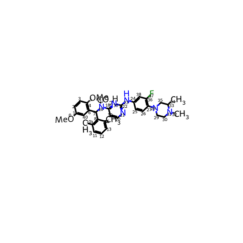 COc1ccc(OC)c(C(c2c(C)cccc2C)N(C(=O)O)c2ccnc(Nc3ccc(N4CCN(C)C(C)C4)c(F)c3)n2)c1